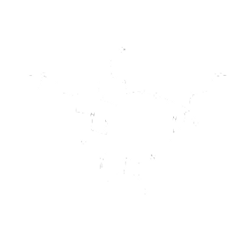 C=CCOC(=O)N1C2CCC1Cn1sc3c(cccc3c1=O)-c1nc3c(cc(CO)cc3n(COCC[Si](C)(C)C)c1=O)OC2